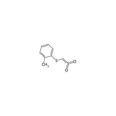 Cc1ccccc1SC=S(=O)=O